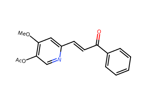 COc1cc(C=CC(=O)c2ccccc2)ncc1OC(C)=O